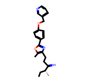 CC[C@@H](C)C(=N)CCc1nc(-c2ccc(OCc3cccnc3)cc2)oc1C